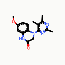 COc1ccc2c(c1)NC(=O)CN2c1nc(C)nc(C)c1C